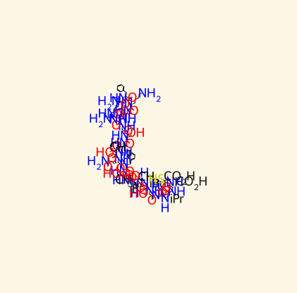 CC[C@H](C)[C@H](NC(=O)[C@@H](NC(=O)[C@H](CC(C)C)NC(=O)[C@@H](NC(=O)[C@H](Cc1ccccc1)NC(=O)[C@H](CCC(N)=O)NC(=O)[C@@H](NC(=O)CNC(=O)[C@H](CO)NC(=O)CNC(=O)[C@H](CO)NC(=O)CNC(=O)[C@H](CCCCN)NC(=O)[C@H](Cc1ccccc1)NC(=O)[C@@H](N)CCCNC(=N)N)[C@@H](C)O)[C@@H](C)O)[C@@H](C)O)C(=O)N[C@@H](CO)C(=O)NCC(=O)N[C@H](C(=O)N[C@@H](CCC(=O)O)C(=O)N[C@@H](CS)C(=O)O)C(C)C